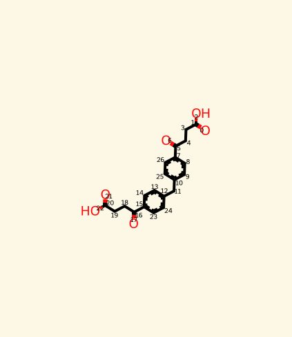 O=C(O)CCC(=O)c1ccc(Cc2ccc(C(=O)CCC(=O)O)cc2)cc1